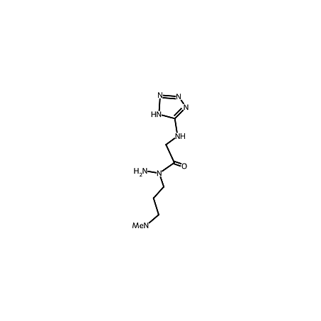 CNCCCN(N)C(=O)CNc1nnn[nH]1